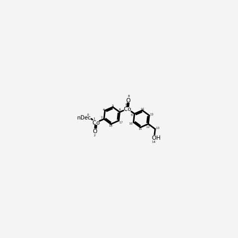 CCCCCCCCC[CH2][Co](=[O])[c]1cc[c]([Co](=[O])[c]2ccc(CO)cc2)cc1